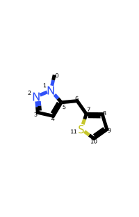 Cn1nccc1Cc1cccs1